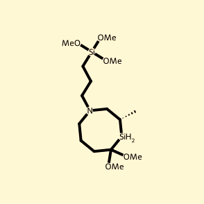 COC1(OC)CCCN(CCC[Si](OC)(OC)OC)C[C@H](C)[SiH2]1